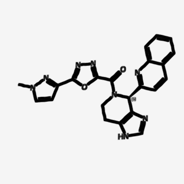 Cn1ccc(-c2nnc(C(=O)N3CCc4[nH]cnc4[C@@H]3c3ccc4ccccc4n3)o2)n1